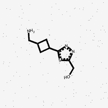 NCC1CC(c2nnc(CO)s2)C1